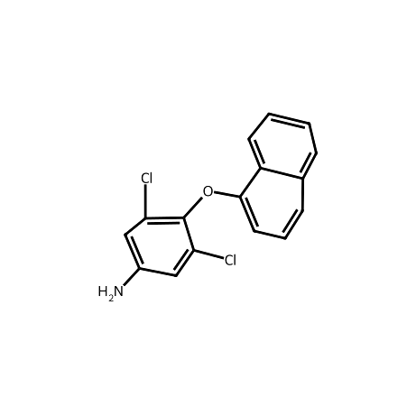 Nc1cc(Cl)c(Oc2cccc3ccccc23)c(Cl)c1